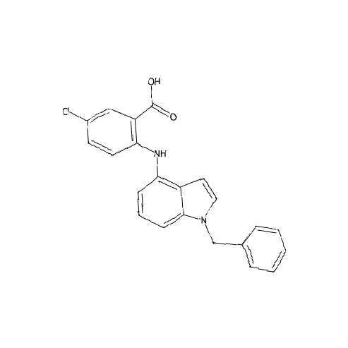 O=C(O)c1cc(Cl)ccc1Nc1cccc2c1ccn2Cc1ccccc1